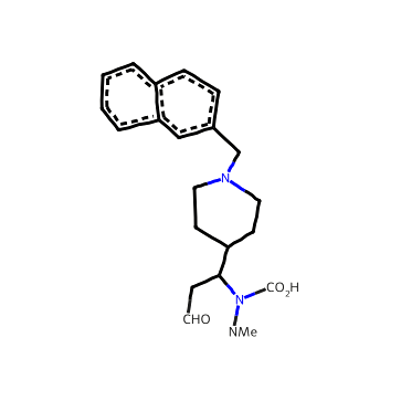 CNN(C(=O)O)C(CC=O)C1CCN(Cc2ccc3ccccc3c2)CC1